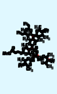 COC(=O)CCSP(OC(C)CSP(OC(C)CSP(OC(C)CC(C)C)OC(C)CC(C)C)OC(C)CSP(OC(C)CC(C)C)OC(C)CC(C)C)OC(C)CSP(=O)(OC(C)CSP(OC(C)CC(C)C)OC(C)CC(C)C)OC(C)CSP(OC(C)CC(C)C)OC(C)CC(C)C